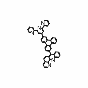 c1ccc(-c2cc(-c3ccc4c5ccc(-c6c7ccccc7nc7c6ccc6cccnc67)cc5c5ccccc5c4c3)cc(-c3ccccn3)n2)nc1